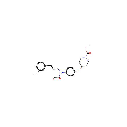 CC(C)(C)OC(=O)N1CCC(Oc2ccc(N(CC=Cc3cccc(C#N)c3)C(=O)CO)cc2)CC1